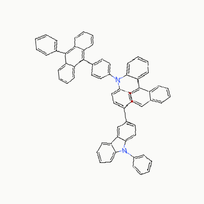 c1ccc(-c2c3ccccc3c(-c3ccc(N(c4ccc(-c5ccc6c(c5)c5ccccc5n6-c5ccccc5)cc4)c4ccccc4-c4cccc5ccccc45)cc3)c3ccccc23)cc1